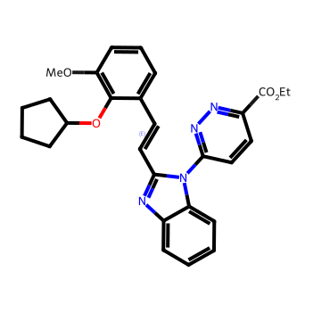 CCOC(=O)c1ccc(-n2c(/C=C/c3cccc(OC)c3OC3CCCC3)nc3ccccc32)nn1